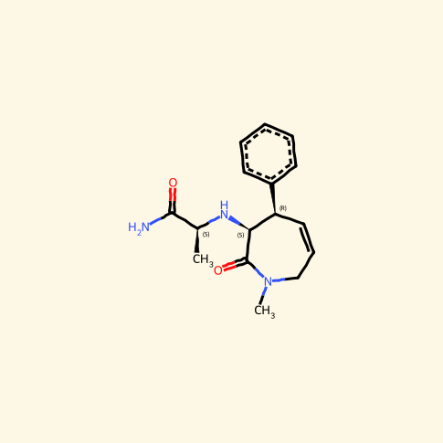 C[C@H](N[C@@H]1C(=O)N(C)CC=C[C@@H]1c1ccccc1)C(N)=O